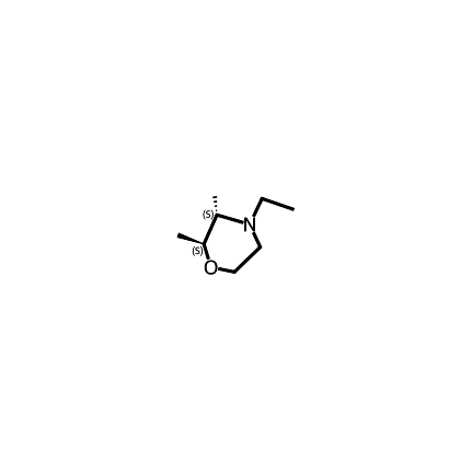 CCN1CCO[C@@H](C)[C@@H]1C